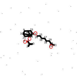 C=C(C)C(=O)OC12CC3CC(CC(OCCCCCCC4CO4)(C3)C1)C2